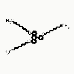 C=CCCCCCCCCCOc1cccc(C2c3cccc(OCCCCCCCCCC=C)c3Cc3c(OCCCCCCCCCC=C)cccc32)c1